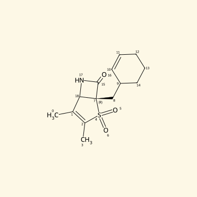 CC1=C(C)S(=O)(=O)[C@@]2(CC3C=CCCC3)C(=O)NC12